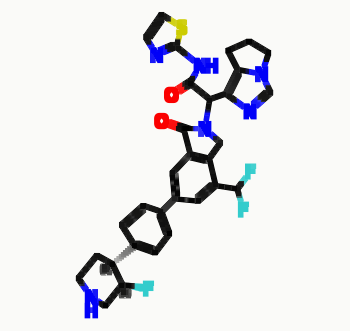 O=C(Nc1nccs1)C(c1ncn2c1CCC2)N1Cc2c(cc(-c3ccc([C@H]4CCNC[C@@H]4F)cc3)cc2C(F)F)C1=O